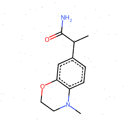 C[C](C(N)=O)c1ccc2c(c1)OCCN2C